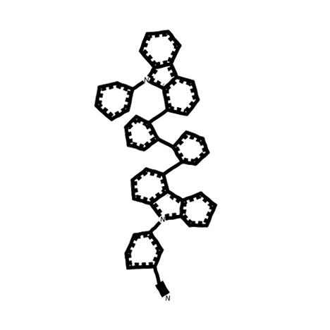 N#Cc1cccc(-n2c3ccccc3c3c(-c4ccccc4-c4ccccc4-c4cccc5c6ccccc6n(-c6ccccc6)c45)cccc32)c1